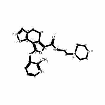 Cc1ncccc1Oc1sc(C(=O)NCCN2CCOCC2)c2c1-c1sncc1CC2